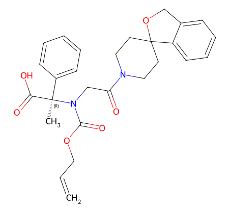 C=CCOC(=O)N(CC(=O)N1CCC2(CC1)OCc1ccccc12)[C@@](C)(C(=O)O)c1ccccc1